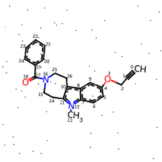 C#CCOc1ccc2c(c1)c1c(n2C)CCN(C(=O)c2ccccc2)CC1